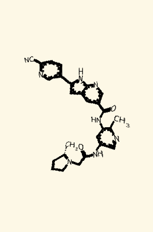 Cc1ncc(NC(=O)CN2CCC[C@@H]2C)cc1NC(=O)c1cnc2[nH]c(-c3ccc(C#N)nc3)cc2c1